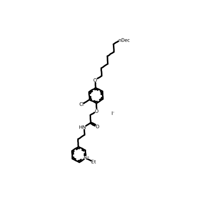 CCCCCCCCCCCCCCCCOc1ccc(OCC(=O)NCCc2ccc[n+](CC)c2)c(Cl)c1.[I-]